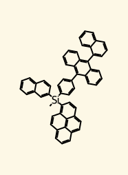 C[Si](c1ccc(-c2c3ccccc3c(-c3cccc4ccccc34)c3ccccc23)cc1)(c1ccc2ccccc2c1)c1ccc2ccc3cccc4ccc1c2c34